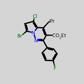 CCOC(=O)c1c(-c2ccc(F)cc2)nn2c(Br)cc(Cl)c2c1C(C)C